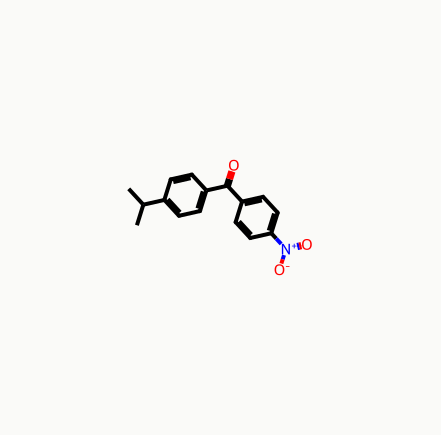 CC(C)c1ccc(C(=O)c2ccc([N+](=O)[O-])cc2)cc1